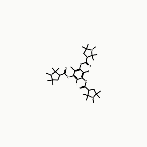 CN1C(C)(C)CC(C(=O)Oc2c(I)c(OC(=O)C3CC(C)(C)N(C)C3(C)C)c(I)c(OC(=O)C3CC(C)(C)N(C)C3(C)C)c2I)C1(C)C